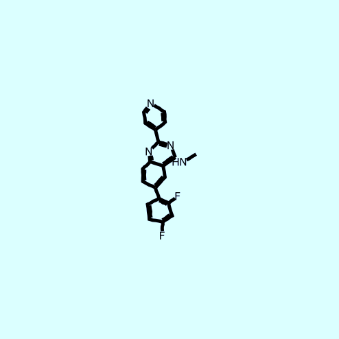 CNc1nc(-c2ccncc2)nc2ccc(-c3ccc(F)cc3F)cc12